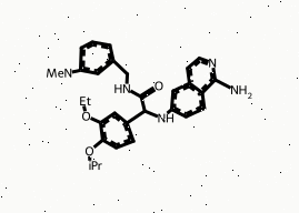 CCOc1cc(C(Nc2ccc3c(N)nccc3c2)C(=O)NCc2cccc(NC)c2)ccc1OC(C)C